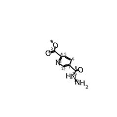 COC(=O)c1ccc(C(=O)NN)cn1